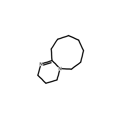 C1CCCC2=NCCCN2CCC1